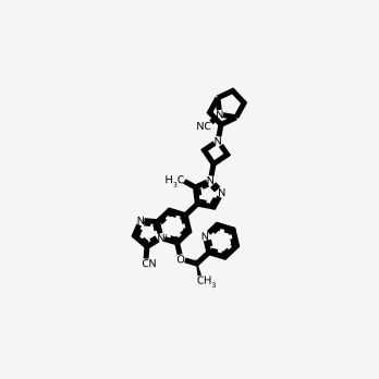 Cc1c(-c2cc(O[C@H](C)c3ccccn3)n3c(C#N)cnc3c2)cnn1C1CN(C2CC3CCC2N3C#N)C1